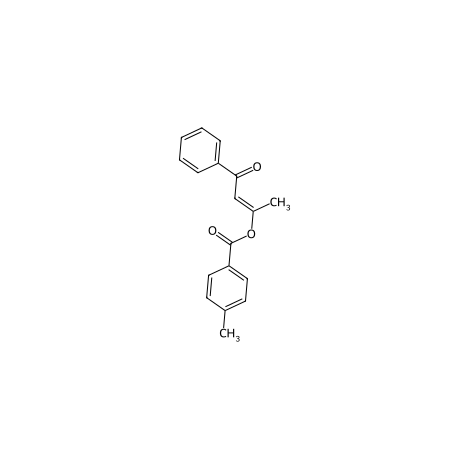 C/C(=C\C(=O)c1ccccc1)OC(=O)c1ccc(C)cc1